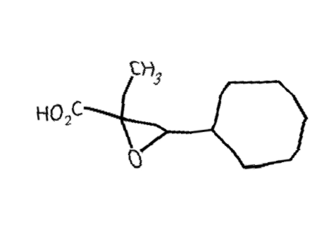 CC1(C(=O)O)OC1C1CCCCC1